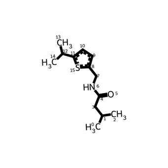 CC(C)CC(=O)NCc1ccc(C(C)C)s1